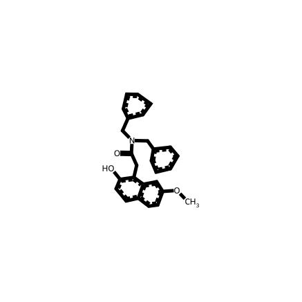 COc1ccc2ccc(O)c(CC(=O)N(Cc3ccccc3)Cc3ccccc3)c2c1